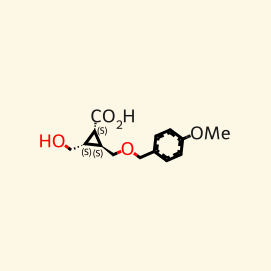 COc1ccc(COC[C@H]2[C@H](CO)[C@@H]2C(=O)O)cc1